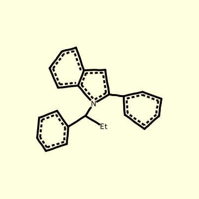 CCC(c1ccccc1)n1c(-c2ccccc2)cc2ccccc21